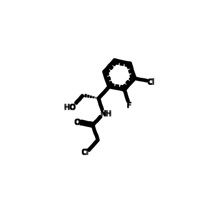 O=C(CCl)N[C@H](CO)c1cccc(Cl)c1F